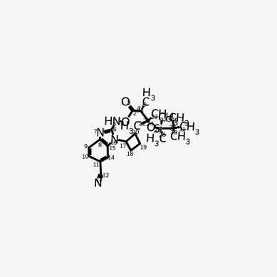 C[C@H](C(=O)ONc1nc2ccc(C#N)cc2n1C1CCC1)C(C)(C)O[Si](C)(C)C(C)(C)C